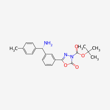 Cc1ccc([C@H](N)c2cccc(-c3nn(C(=O)OC(C)(C)C)c(=O)o3)c2)cc1